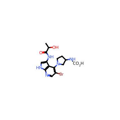 CC(O)C(=O)Nc1c[nH]c2ncc(Br)c(N3CCC(NC(=O)O)C3)c12